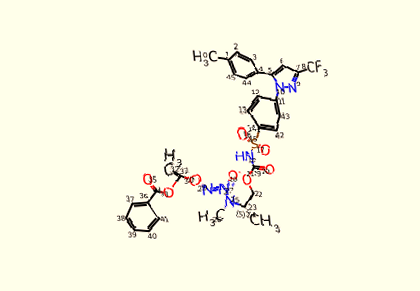 Cc1ccc(-c2cc(C(F)(F)F)nn2-c2ccc(S(=O)(=O)NC(=O)OC[C@H](C)N(C)[N+]([O-])=NOC(C)OC(=O)c3ccccc3)cc2)cc1